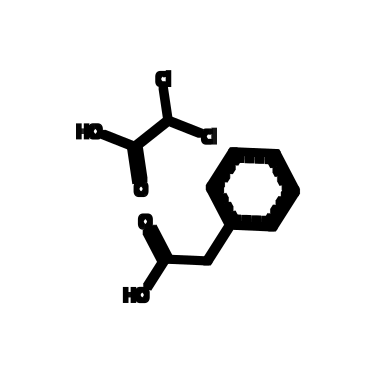 O=C(O)C(Cl)Cl.O=C(O)Cc1ccccc1